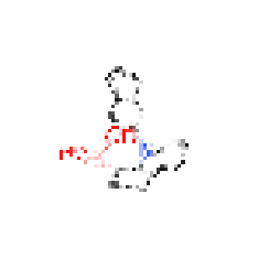 OB(O)c1cccc2c3ccccc3n(-c3ccc4ccccc4c3)c12